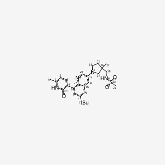 Cc1ccc(-c2cc(C(C)(C)C)cc3cc(N4CCC(C)(CNS(C)(=O)=O)C4)cnc23)c(=O)[nH]1